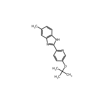 Cc1ccc2[nH]c(-c3ccc(OC(C)(C)C)cn3)nc2c1